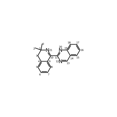 CC1(C)Cc2ccccc2C(c2ncc3ccccc3n2)=N1